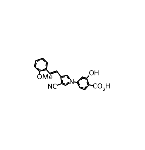 COc1ccccc1/C=C/c1cn(-c2ccc(C(=O)O)c(O)c2)cc1C#N